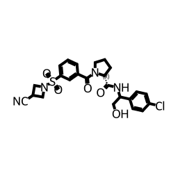 N#CC1CN(S(=O)(=O)c2cccc(C(=O)N3CCC[C@@H]3C(=O)NC(CO)c3ccc(Cl)cc3)c2)C1